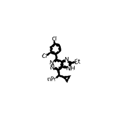 CCCC(c1nnc(-c2ccc(Cl)cc2Cl)c2nc(CC)[nH]c12)C1CC1